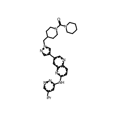 CC(C)c1cnnc(Nc2ccc3ncc(-c4cnn(CC5CCN(C(=O)N6CCCCC6)CC5)c4)cc3n2)c1